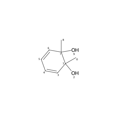 CC1(O)C=CC=CC1(C)O